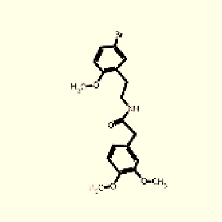 COc1ccc(Br)cc1CCNC(=O)Cc1ccc(OC)c(OC)c1